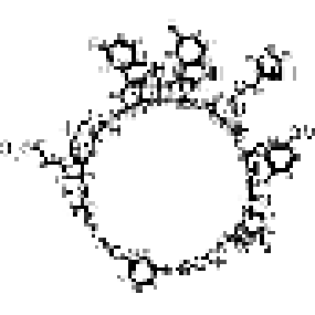 COc1ccc(C[C@@H]2NC(=O)CNC(=O)[C@H](CC(=O)OCc3cnc[nH]3)NC(=O)[C@H](Cc3c[nH]c4ccc(F)cc34)NC(=O)[C@H](Cc3c[nH]c4ccc(F)cc34)NC(=O)[C@@H](C)NC(=O)[C@H](CCCCC(=O)O)NC(=O)CCSCc3cccc(c3)CSCCNC(=O)[C@]3(C)CCCN3C2=O)cc1